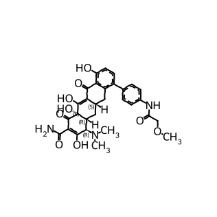 COCC(=O)Nc1ccc(-c2ccc(O)c3c2C[C@@H]2C[C@@H]4[C@@H](N(C)C)C(O)=C(C(N)=O)C(=O)[C@@]4(O)C(O)=C2C3=O)cc1